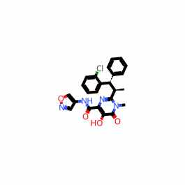 C[C@@H](c1nc(C(=O)Nc2cnoc2)c(O)c(=O)n1C)[C@@H](c1ccccc1)c1ccccc1Cl